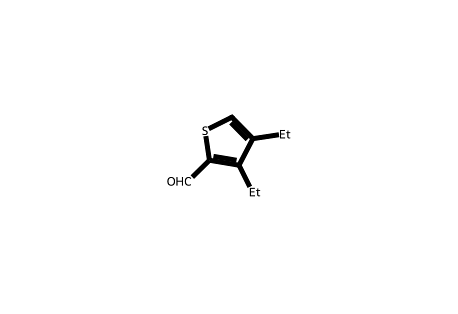 CCc1csc(C=O)c1CC